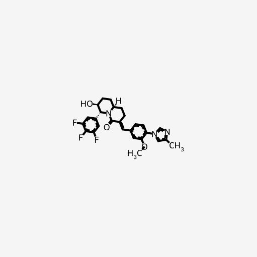 COc1cc(/C=C2\CC[C@@H]3CC[C@H](O)[C@@H](c4cc(F)c(F)c(F)c4)N3C2=O)ccc1-n1cnc(C)c1